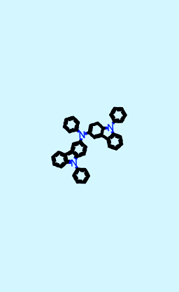 C1=C2c3ccccc3N(c3ccccc3)C2CC=C1N(c1ccccc1)c1ccc2c(c1)c1ccccc1n2-c1ccccc1